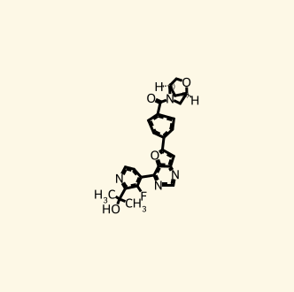 CC(C)(O)c1nccc(-c2ncnc3cc(-c4ccc(C(=O)N5C[C@H]6C[C@@H]5CO6)cc4)oc23)c1F